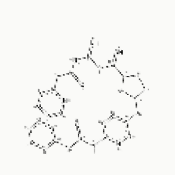 N=C(NC(=O)Cc1ccccn1)SC(=N)C1CCC(Cc2ccc(NC(=O)Cc3ccccc3)nn2)C1